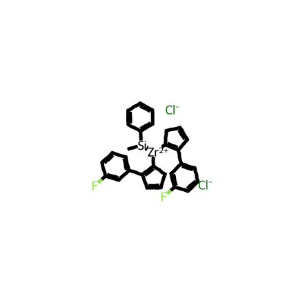 C[Si](c1ccccc1)=[Zr+2]([C]1=C(c2cccc(F)c2)C=CC1)[C]1=C(c2cccc(F)c2)C=CC1.[Cl-].[Cl-]